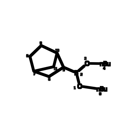 CCCCOB(OCCCC)C1CC2CCC1C2